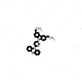 C=Cc1ccc2c(c1)c1cc(C=C)ccc1n2-c1ccc(N2c3ccccc3Sc3ccccc32)nn1